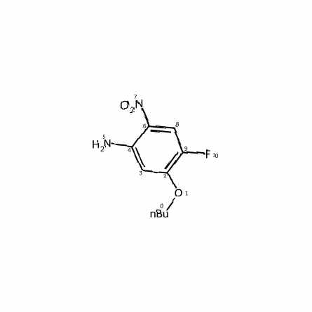 CCCCOc1cc(N)c([N+](=O)[O-])cc1F